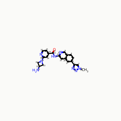 Cn1cc(-c2ccc3cnc(NC(=O)c4ccnc(N5CC(N)C5)c4)cc3c2)nn1